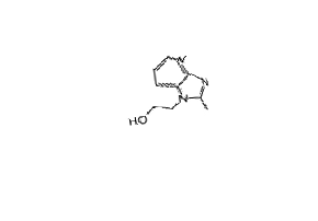 Cc1nc2ncccc2n1CCO